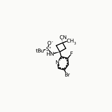 CC(C)(C)[S@@+]([O-])N[C@]1(c2ncc(Br)cc2F)C[C@@](C)(C#N)C1